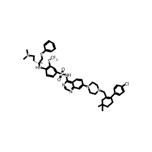 CN(C)CC[C@H](CSc1ccccc1)Nc1ccc(S(=O)(=O)Nc2ncnc3cc(N4CCN(CC5=C(c6ccc(Cl)cc6)CCC(C)(C)C5)CC4)ccc23)cc1SC(F)(F)F